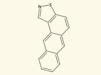 c1ccc2cc3c(ccc4sncc43)cc2c1